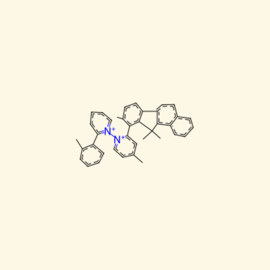 Cc1cc[n+](-[n+]2ccccc2-c2ccccc2C)c(-c2c(C)ccc3c2C(C)(C)c2c-3ccc3ccccc23)c1